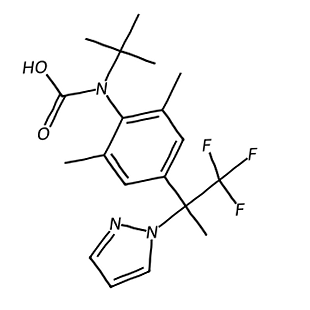 Cc1cc(C(C)(n2cccn2)C(F)(F)F)cc(C)c1N(C(=O)O)C(C)(C)C